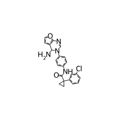 NC1c2ccoc2N=CN1c1ccc(NC(=O)C2(c3cccc(Cl)c3)CC2)cc1